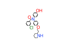 O=C(c1cccc(Cl)c1)N(c1ccc(O)cc1)c1ccc(OCCC2CCCCN2)cc1